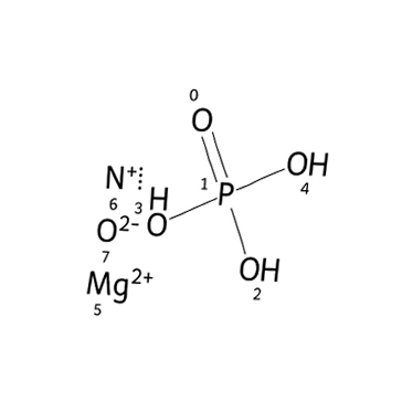 O=P(O)(O)O.[Mg+2].[N+].[O-2]